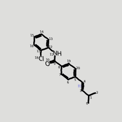 CC(C)/C=C/c1ccc(C(=O)Nc2ccccc2Cl)cc1